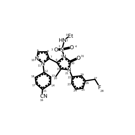 CCNS(=O)(=O)n1c(-c2ccnn2-c2ccc(C#N)cc2)c(C)n(-c2cccc(CF)c2)c1=O